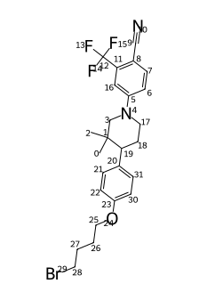 CC1(C)CN(c2ccc(C#N)c(C(F)(F)F)c2)CCC1c1ccc(OCCCCBr)cc1